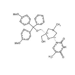 COc1ccc(C(OC[C@]2(CO)CN(C)C[C@H](n3cc(C)c(=O)[nH]c3=O)O2)(c2ccccc2)c2ccc(OC)cc2)cc1